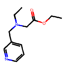 CCOC(=O)CN(CC)Cc1cccnc1